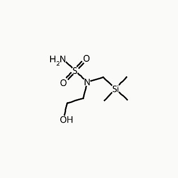 C[Si](C)(C)CN(CCO)S(N)(=O)=O